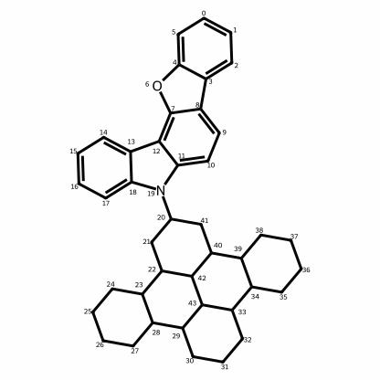 c1ccc2c(c1)oc1c2ccc2c1c1ccccc1n2C1CC2C3CCCCC3C3CCCC4C5CCCCC5C(C1)C2C34